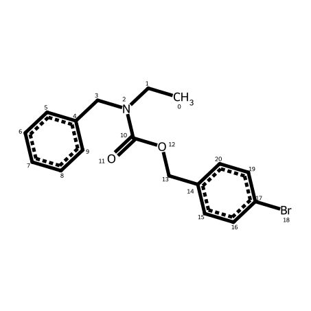 CCN(Cc1ccccc1)C(=O)OCc1ccc(Br)cc1